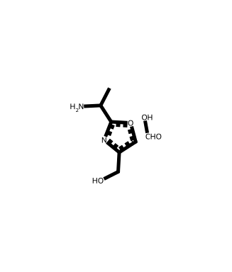 CC(N)c1nc(CO)co1.O=CO